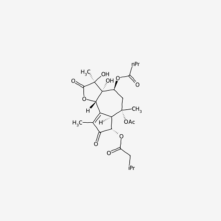 CCCC(=O)O[C@H]1C[C@](C)(OC(C)=O)[C@@H]2C(=C(C)C(=O)[C@H]2OC(=O)CC(C)C)[C@@H]2OC(=O)[C@@](C)(O)[C@@]12O